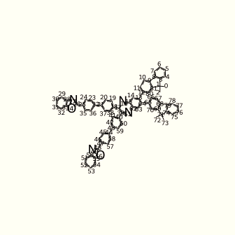 CC1(C)c2ccccc2-c2ccc(-c3cc4nc(-c5ccc(-c6ccc(-c7nc8ccccc8o7)cc6)cc5)c(-c5ccc(-c6ccc(-c7nc8ccccc8o7)cc6)cc5)nc4cc3-c3ccc4c(c3)C(C)(C)c3ccccc3-4)cc21